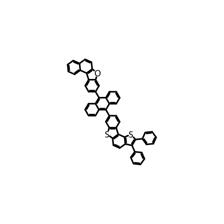 c1ccc(-c2sc3c(ccc4sc5cc(-c6c7ccccc7c(-c7ccc8c(c7)oc7ccc9ccccc9c78)c7ccccc67)ccc5c43)c2-c2ccccc2)cc1